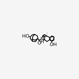 CC1(C)[C@H]2Cc3c(O)cccc3[C@]1(C)CCN2C(=O)C12CC3CC(O)CC(C1)C(C3)C2